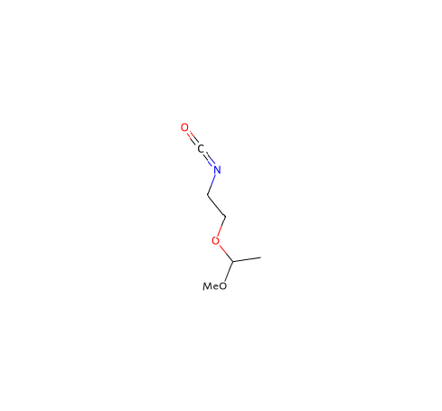 COC(C)OCCN=C=O